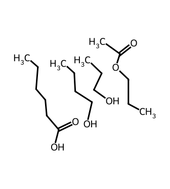 CCCCCC(=O)O.CCCCO.CCCO.CCCOC(C)=O